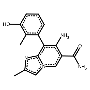 Cc1cn2cc(C(N)=O)c(N)c(-c3cccc(O)c3C)c2n1